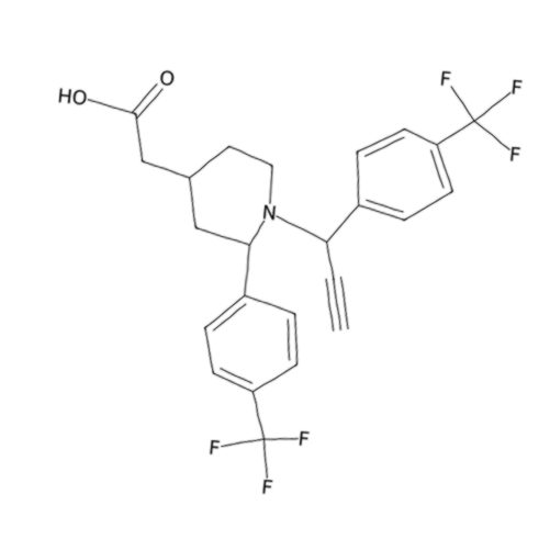 C#CC(c1ccc(C(F)(F)F)cc1)N1CCC(CC(=O)O)CC1c1ccc(C(F)(F)F)cc1